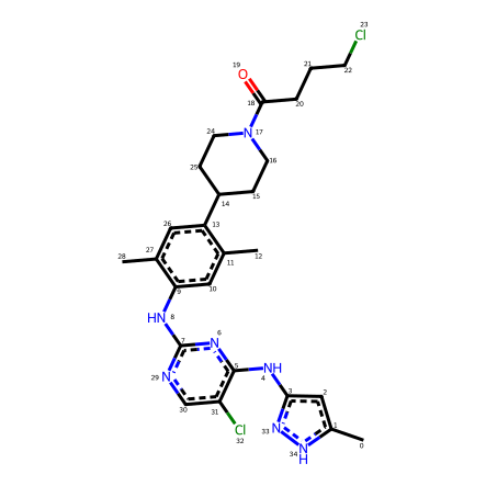 Cc1cc(Nc2nc(Nc3cc(C)c(C4CCN(C(=O)CCCCl)CC4)cc3C)ncc2Cl)n[nH]1